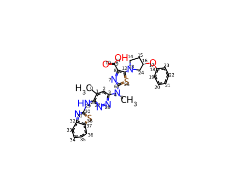 Cc1cc(N(C)c2nc(C(=O)O)c(N3CC[C@@H](Oc4ccccc4)C3)s2)nnc1Nc1nc2ccccc2s1